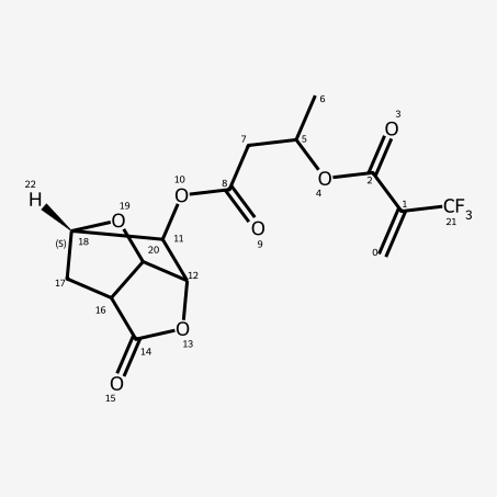 C=C(C(=O)OC(C)CC(=O)OC1C2OC(=O)C3C[C@@H]1OC32)C(F)(F)F